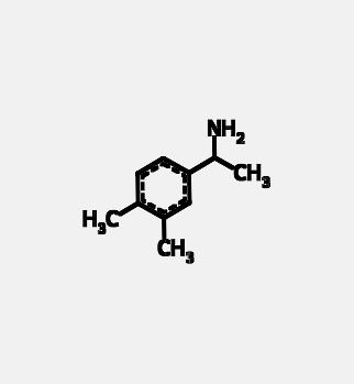 Cc1ccc(C(C)N)cc1C